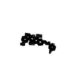 COc1ccc2ncc(Cl)c([C@H](O)CCC3CCN(CCSc4cc(F)ccn4)CC3C(=O)O)c2c1